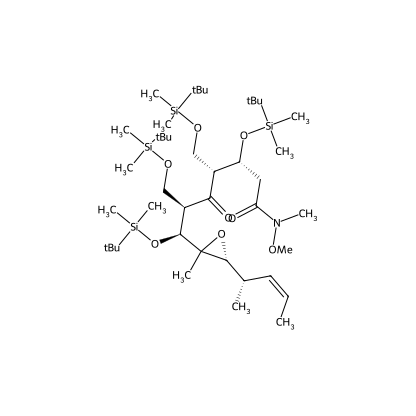 C/C=C\[C@H](C)[C@H]1OC1(C)[C@@H](O[Si](C)(C)C(C)(C)C)[C@@H](CO[Si](C)(C)C(C)(C)C)C(=O)[C@H](CO[Si](C)(C)C(C)(C)C)[C@@H](CC(=O)N(C)OC)O[Si](C)(C)C(C)(C)C